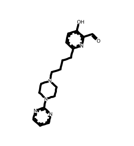 O=Cc1nc(CCCCN2CCN(c3ncccn3)CC2)ccc1O